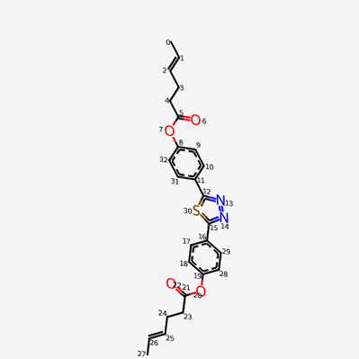 CC=CCCC(=O)Oc1ccc(-c2nnc(-c3ccc(OC(=O)CCC=CC)cc3)s2)cc1